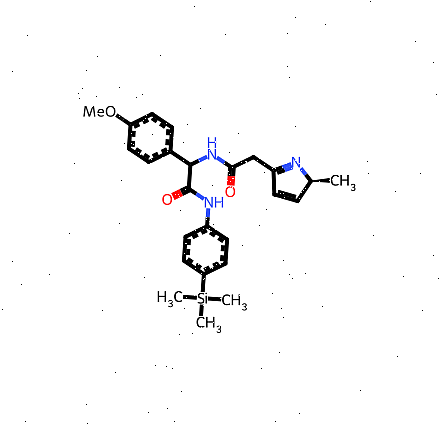 COc1ccc(C(NC(=O)CC2=N[C@@H](C)C=C2)C(=O)Nc2ccc([Si](C)(C)C)cc2)cc1